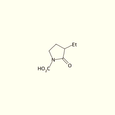 CCC1CCN(C(=O)O)C1=O